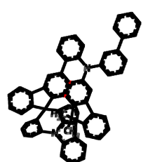 CC1(C)c2ccccc2-c2cc(N(c3cccc(-c4ccccc4)c3)c3ccccc3-c3ccc4c(c3)-c3ccccc3C43c4ccccc4-n4c5ccccc5c5cccc3c54)ccc21